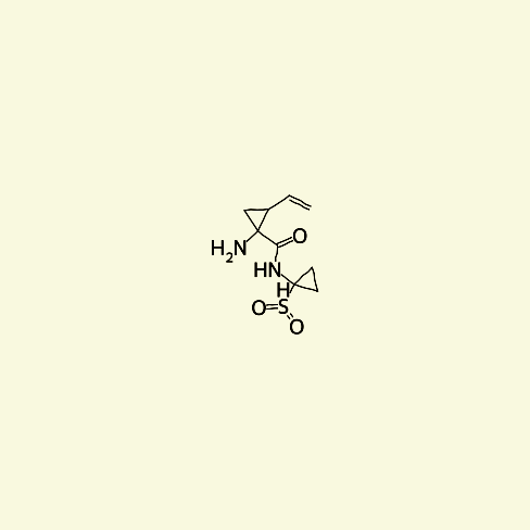 C=CC1CC1(N)C(=O)NC1([SH](=O)=O)CC1